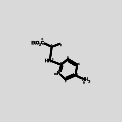 CCOC(=O)C(C)Nc1ccc(N)cn1